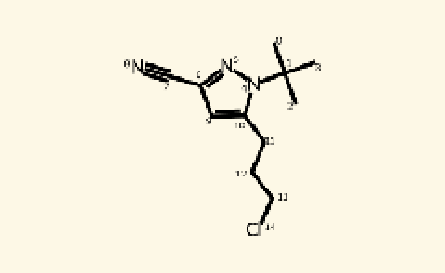 CC(C)(C)n1nc(C#N)cc1CCCCl